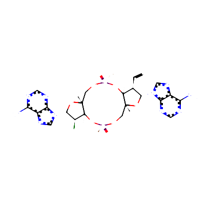 C=C[C@@H]1[C@@H]2O[P@@](=O)(S)OC[C@H]3O[C@@H](n4cnc5c(N)ncnc54)[C@H](F)[C@@H]3O[P@](=O)(S)OC[C@H]2O[C@H]1n1cnc2c(N)ncnc21